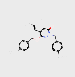 COc1ccc(COc2nn(Cc3ccc(OC)cc3)c(=O)cc2C=CC(=O)O)cc1.[Ar]